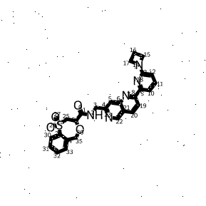 O=C(NCc1cc2nc(-c3cccc(N4CCC4)n3)ccc2cn1)C1CS(=O)(=O)c2ccccc2CO1